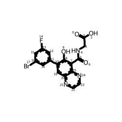 O=C(O)CNC(=O)c1c(O)c(-c2cc(F)cc(Br)c2)cc2nccnc12